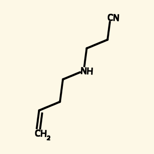 C=CCCNCCC#N